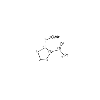 COC[C@H]1CCCN1C(=O)C(C)C